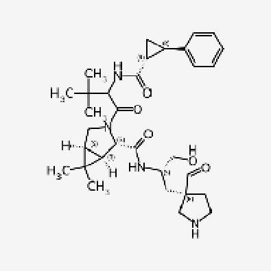 CC(C)(C)C(NC(=O)[C@@H]1C[C@H]1c1ccccc1)C(=O)N1C[C@H]2[C@@H]([C@H]1C(=O)N[C@H](CO)C[C@]1(C=O)CCNC1)C2(C)C